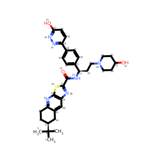 CC(C)(C)[C@H]1CCc2nc3sc(C(=O)N[C@H](CCN4CCC(O)CC4)c4ccc(-c5ccc(O)nn5)cc4)nc3cc2C1